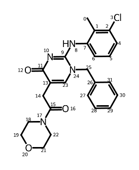 Cc1c(Cl)cccc1Nc1nc(=O)c(CC(=O)N2CCOCC2)cn1Cc1ccccc1